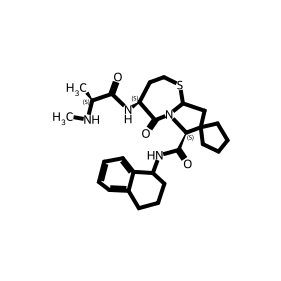 CN[C@@H](C)C(=O)N[C@H]1CCSC2CC3(CCCC3)[C@@H](C(=O)NC3CCCc4ccccc43)N2C1=O